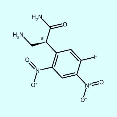 NC[C@@H](C(N)=O)c1cc(F)c([N+](=O)[O-])cc1[N+](=O)[O-]